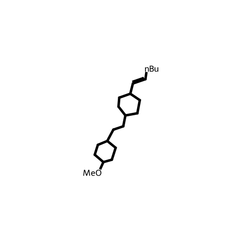 CCCCC=CC1CCC(CCC2CCC(OC)CC2)CC1